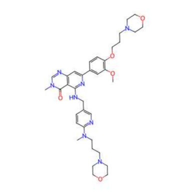 COc1cc(-c2cc3ncn(C)c(=O)c3c(NCc3ccc(N(C)CCCN4CCOCC4)nc3)n2)ccc1OCCCN1CCOCC1